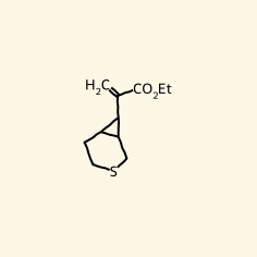 C=C(C(=O)OCC)C1C2CCSCC21